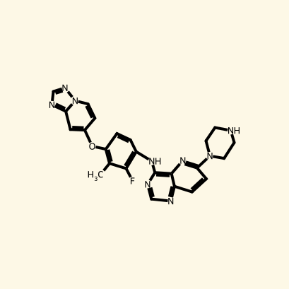 Cc1c(Oc2ccn3ncnc3c2)ccc(Nc2ncnc3ccc(N4CCNCC4)nc23)c1F